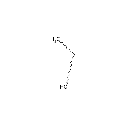 CCCCCCCC/C=C\CCCCCCCCCCC=CO